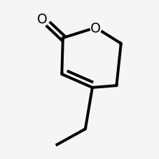 CCC1=CC(=O)OCC1